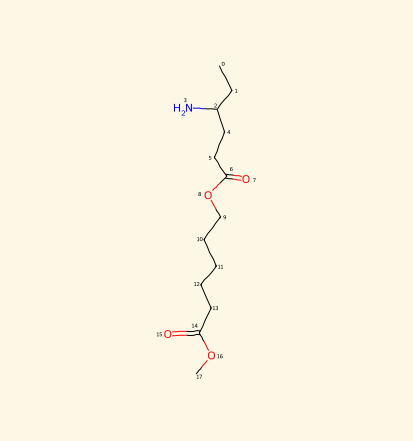 CCC(N)CCC(=O)OCCCCCC(=O)OC